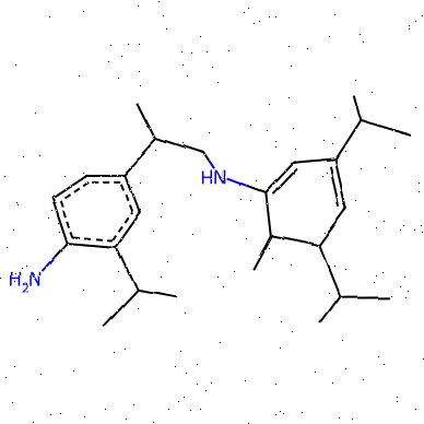 CC(C)C1=CC(C(C)C)C(C)C(NCC(C)c2ccc(N)c(C(C)C)c2)=C1